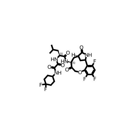 CC(C)C[C@H](NC(=O)C(=O)NC1CCC(F)(F)CC1)C(=O)N[C@H]1C[C@@H]2CC(NC2=O)c2c(F)cc(F)c(F)c2OCC1=O